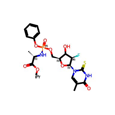 Cc1cn([C@H]2O[C@@H](CO[P@](=O)(N[C@@H](C)C(=O)OC(C)C)Oc3ccccc3)C(O)[C@H]2F)c(=S)[nH]c1=O